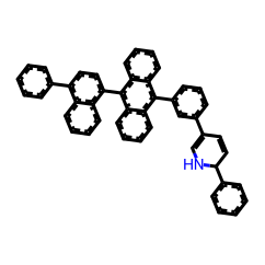 C1=CC(c2ccccc2)NC=C1c1cccc(-c2c3ccccc3c(-c3ccc(-c4ccccc4)c4ccccc34)c3ccccc23)c1